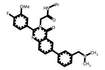 COc1cc(-c2nc3ccc(-c4cccc(CN(C)C)c4)cc3c(=O)n2CC(=O)NC(C)C)ccc1F